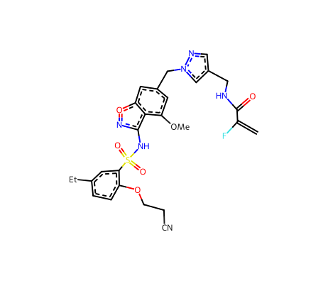 C=C(F)C(=O)NCc1cnn(Cc2cc(OC)c3c(NS(=O)(=O)c4cc(CC)ccc4OCCC#N)noc3c2)c1